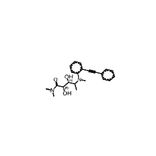 CC([C@H](O)[C@@H](O)C(=O)N(C)C)N(C)c1ccccc1C#Cc1ccccc1